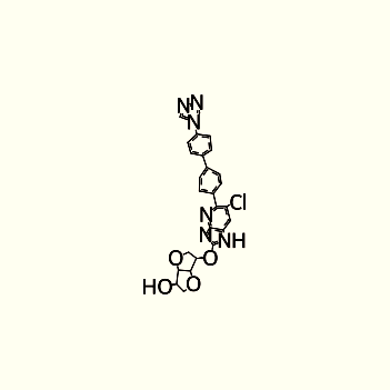 O[C@@H]1COC2C1OC[C@H]2Oc1nc2nc(-c3ccc(-c4ccc(-n5cnnc5)cc4)cc3)c(Cl)cc2[nH]1